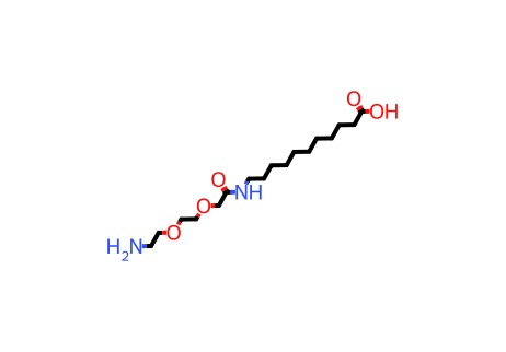 NCCOCCOCC(=O)NCCCCCCCCCCC(=O)O